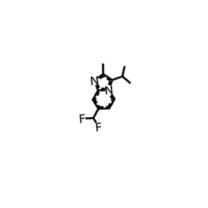 Cc1nc2cc(C(F)F)ccn2c1C(C)C